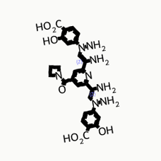 N/C(=C\N(N)c1ccc(C(=O)O)c(O)c1)c1cc(C(=O)N2CCC2)cc(/C(N)=C/N(N)c2ccc(C(=O)O)c(O)c2)n1